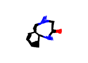 O=C1[C]NC=C2C=CC=CC2N1